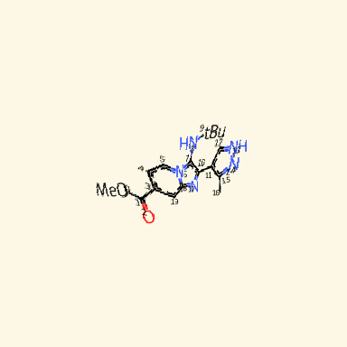 COC(=O)c1ccn2c(NC(C)(C)C)c(-c3c[nH]nc3C)nc2c1